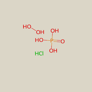 Cl.O=P(O)(O)O.OO